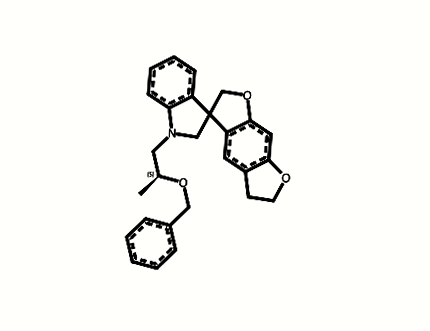 C[C@@H](CN1CC2(COc3cc4c(cc32)CCO4)c2ccccc21)OCc1ccccc1